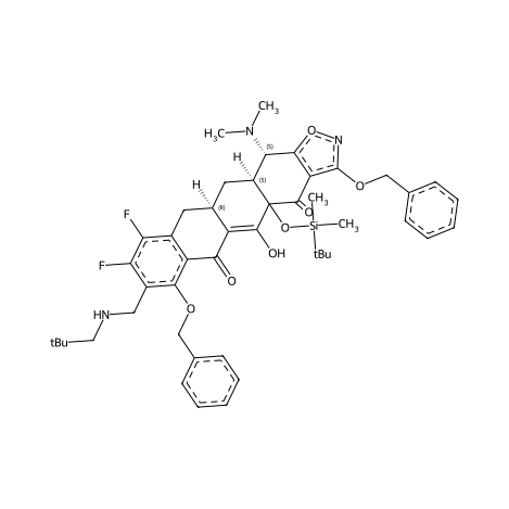 CN(C)[C@@H]1c2onc(OCc3ccccc3)c2C(=O)C2(O[Si](C)(C)C(C)(C)C)C(O)=C3C(=O)c4c(c(F)c(F)c(CNCC(C)(C)C)c4OCc4ccccc4)C[C@H]3C[C@@H]12